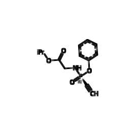 C#C[P@@](=O)(NCC(=O)OC(C)C)Oc1ccccc1